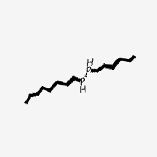 CCCCCCCCPPCCCCCC